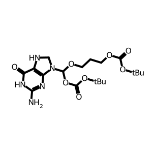 CC(C)(C)OC(=O)OCCCOC(OC(=O)OC(C)(C)C)N1CNc2c1nc(N)[nH]c2=O